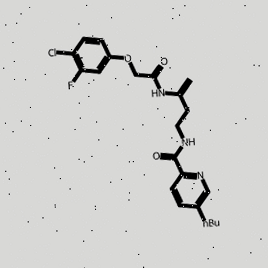 C=C(CCNC(=O)c1ccc(CCCC)cn1)NC(=O)COc1ccc(Cl)c(F)c1